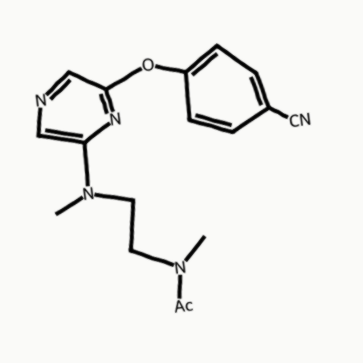 CC(=O)N(C)CCN(C)c1cncc(Oc2ccc(C#N)cc2)n1